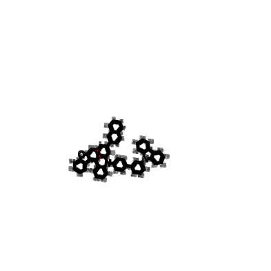 c1cc(-c2ccc3ccccc3c2)cc(N(c2ccc(-c3cccc(-n4c5ccccc5c5ccccc54)c3)cc2)c2ccccc2-c2cccc3oc4ccccc4c23)c1